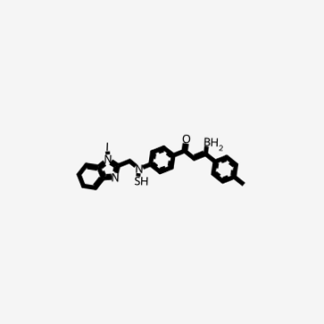 B/C(=C\C(=O)c1ccc(N(S)Cc2nc3c(n2I)=CCCC=3)cc1)c1ccc(C)cc1